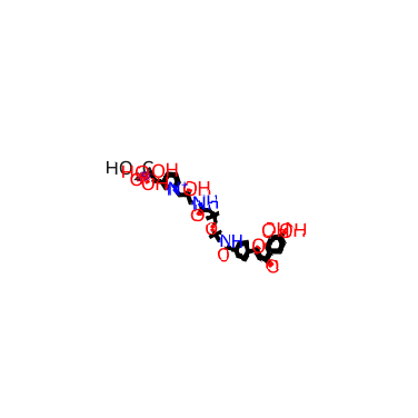 CC(C)(COC(C)(C)CNC(=O)c1ccc(-c2cc(=O)c3ccc(O)c(O)c3o2)cc1)CC(=O)NCC(O)C[n+]1cccc(CC(O)(C(=O)O)P(=O)(O)O)c1